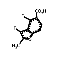 Cc1sc2ccc(C(=O)O)c(F)c2c1F